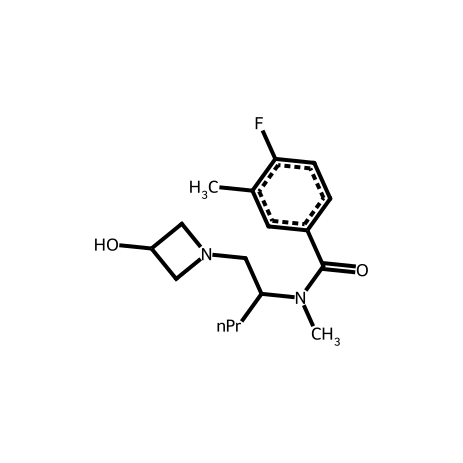 CCCC(CN1CC(O)C1)N(C)C(=O)c1ccc(F)c(C)c1